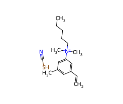 C=Cc1cc(C)cc([N+](C)(C)CCCCC)c1.N#CS